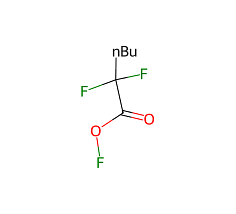 CCCCC(F)(F)C(=O)OF